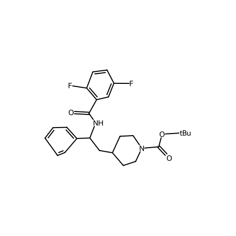 CC(C)(C)OC(=O)N1CCC(CC(NC(=O)c2cc(F)ccc2F)c2ccccc2)CC1